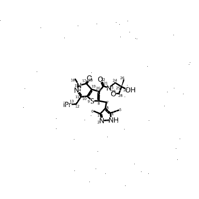 Cc1n[nH]c(C)c1Cc1sc2c(CC(C)C)nn(C)c(=O)c2c1C(=O)N1C[C@](C)(O)CO1